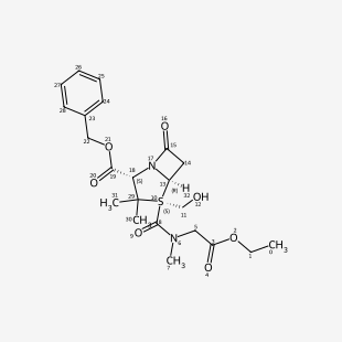 CCOC(=O)CN(C)C(=O)[S@]1(CO)[C@@H]2CC(=O)N2[C@@H](C(=O)OCc2ccccc2)C1(C)C